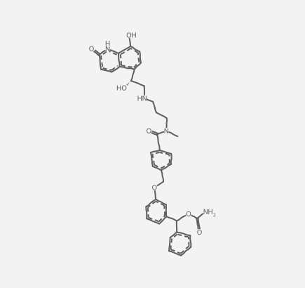 CN(CCCNC[C@H](O)c1ccc(O)c2[nH]c(=O)ccc12)C(=O)c1ccc(COc2cccc(C(OC(N)=O)c3ccccc3)c2)cc1